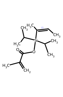 C=C(C)C(=O)O[Si](/C(C)=C\C)(C(C)C)C(C)C